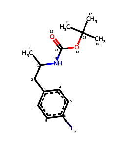 CC(Cc1ccc(I)cc1)NC(=O)OC(C)(C)C